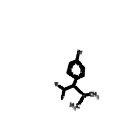 CN(C)C(c1ccc(Br)cc1)C(F)F